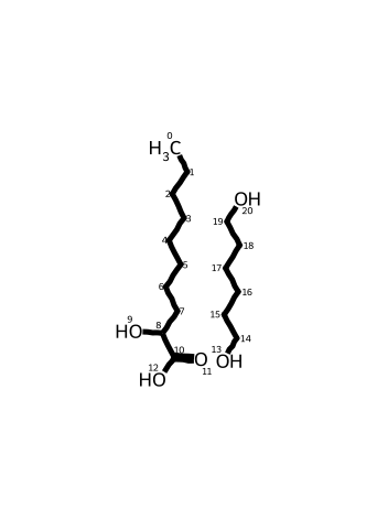 CCCCCCCCC(O)C(=O)O.OCCCCCCO